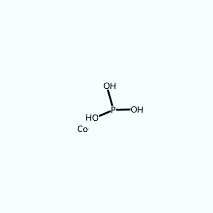 OP(O)O.[Co]